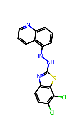 Clc1ccc2nc(NNc3cccc4ncccc34)sc2c1Cl